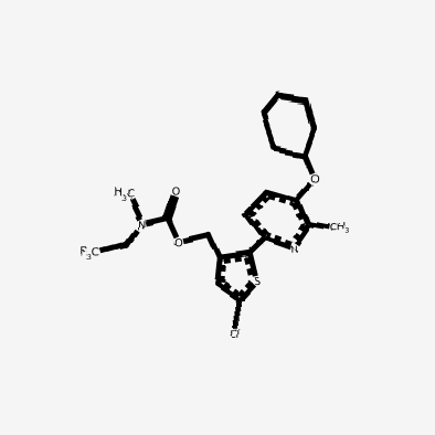 Cc1nc(-c2sc(Cl)cc2COC(=O)N(C)CC(F)(F)F)ccc1OC1CCCCC1